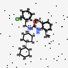 CC(C)c1cccc(C(C)C)c1NC(=O)N(Cc1ccccc1Cl)[C@H]1CC[C@@H](C2CCCCC2)CC1